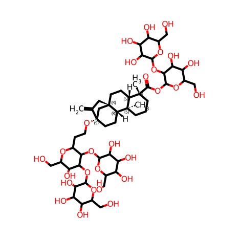 C=C1C[C@@]23CC[C@H]4[C@@](C)(CCC[C@@]4(C)C(=O)OC4OC(CO)C(O)C(O)C4OC4OC(CO)C(O)C(O)C4O)[C@@H]2CC[C@]1(OCCC1OC(CO)C(O)C(OC2OC(CO)C(O)C(O)C2O)C1OC1OC(CO)C(O)C(O)C1O)C3